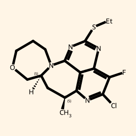 CCSc1nc2c3c(nc(Cl)c(F)c3n1)[C@@H](C)C[C@H]1COCCCN21